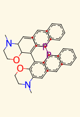 CN1CCOc2c1ccc(P(c1ccccc1)c1ccccc1)c2C1=C(P(c2ccccc2)c2ccccc2)C=CC2C1OCCN2C